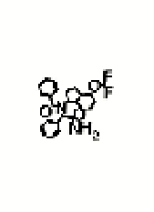 NC(=O)C(c1ccccc1)N(C(=O)c1ccccc1)[C@@H]1CCc2c(OC(F)F)cccc21